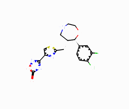 O=c1[nH]c(-c2csc(C[C@@H]3CNCCO[C@H]3c3ccc(Cl)c(Cl)c3)n2)no1